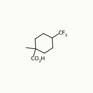 CC1(C(=O)O)CCC(C(F)(F)F)CC1